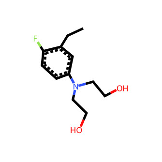 CCc1cc(N(CCO)CCO)ccc1F